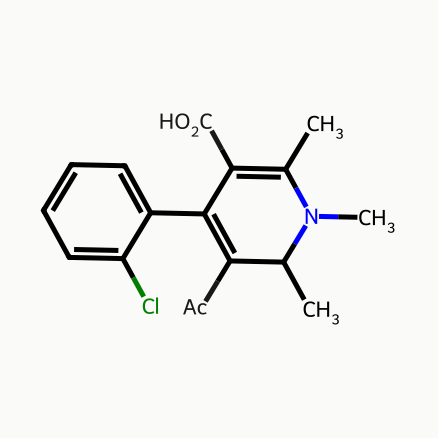 CC(=O)C1=C(c2ccccc2Cl)C(C(=O)O)=C(C)N(C)C1C